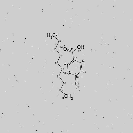 C=CCCCCCCCC.O=C(O)c1ccc(=O)oc1